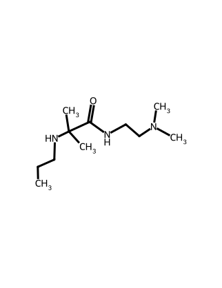 CCCNC(C)(C)C(=O)NCCN(C)C